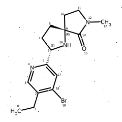 CCc1cnc([C@@H]2CC[C@]3(CCN(C)C3=O)N2)cc1Br